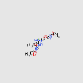 C=CC(=O)N1CCC(Nc2cc3c(Nc4ccc(Oc5ccnc(N6CC(OC)C6)c5)cc4F)ncnc3cc2OC)CC1